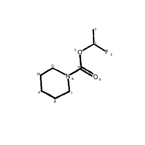 CC(F)OC(=O)N1CCCCC1